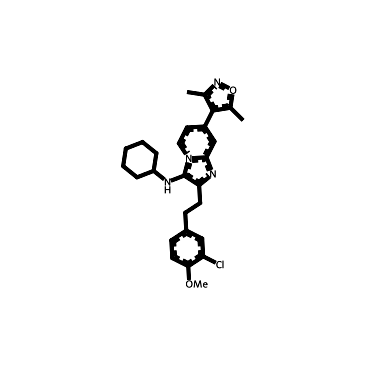 COc1ccc(CCc2nc3cc(-c4c(C)noc4C)ccn3c2NC2CCCCC2)cc1Cl